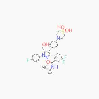 N#CC1(NC(=O)[C@@H]2CC(F)(F)CC[C@H]2c2nn(-c3ccc(F)cc3)c(CO)c2-c2ccc(N3CCS(O)(O)CC3)cc2)CC1